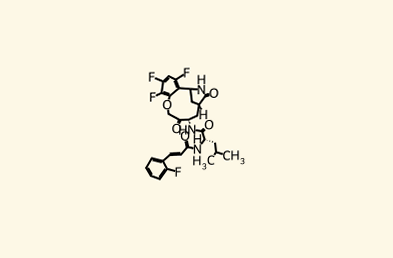 CC(C)C[C@H](NC(=O)/C=C/c1ccccc1F)C(=O)N[C@H]1C[C@@H]2CC(NC2=O)c2c(F)cc(F)c(F)c2OCC1=O